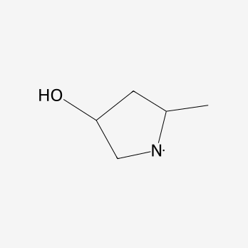 CC1CC(O)C[N]1